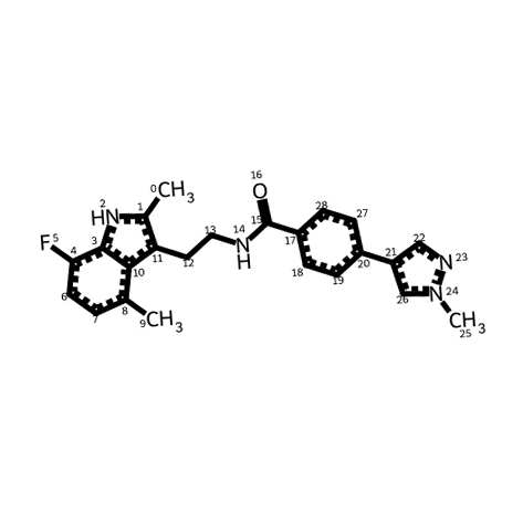 Cc1[nH]c2c(F)ccc(C)c2c1CCNC(=O)c1ccc(-c2cnn(C)c2)cc1